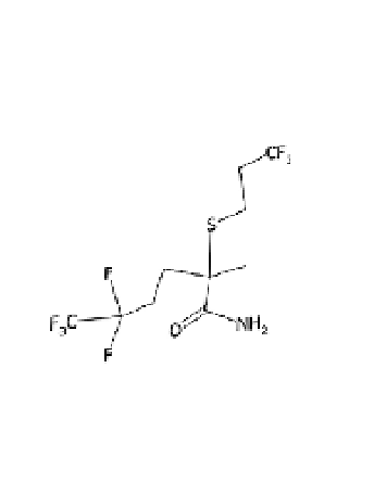 CC(CCC(F)(F)C(F)(F)F)(SCCC(F)(F)F)C(N)=O